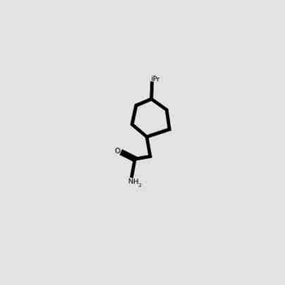 CC(C)C1CCC(CC(N)=O)CC1